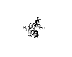 Cc1cnc2ccc(-c3nc(C(=O)NC[C@H]4CC(F)(F)CN4C(=O)OC(C)(C)C)c(N)nc3-c3ncco3)cn12